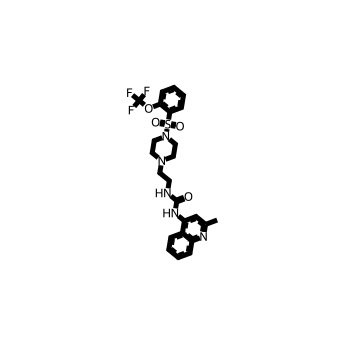 Cc1cc(NC(=O)NCCN2CCN(S(=O)(=O)c3ccccc3OC(F)(F)F)CC2)c2ccccc2n1